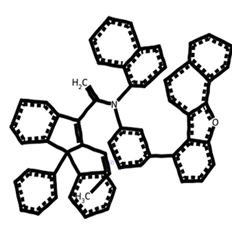 C=C(C1=C(/C=C\C)C(c2ccccc2)(c2ccccc2)c2ccccc21)N(c1cccc(-c2cccc3oc4c5ccccc5ccc4c23)c1)c1cccc2ccccc12